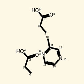 CCC(=O)O.CCC(=O)O.Cc1cnccn1